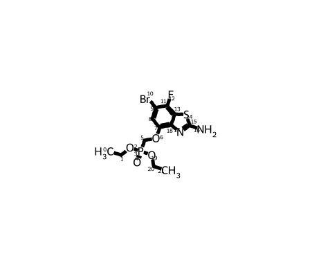 CCOP(=O)(COc1cc(Br)c(F)c2sc(N)nc12)OCC